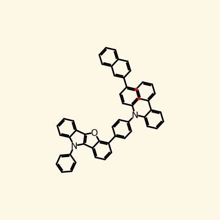 c1ccc(-c2ccccc2N(c2ccc(-c3ccc4ccccc4c3)cc2)c2ccc(-c3cccc4c3oc3c5ccccc5n(-c5ccccc5)c43)cc2)cc1